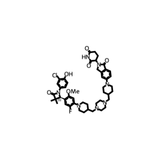 COc1cc(N2CCC(CN3CCN(CC4CCN(c5ccc6c(c5)CN(C5CCC(=O)NC5=O)C6=O)CC4)CC3)CC2)c(F)cc1[C@@H]1N(c2ccc(O)c(Cl)c2)C(=O)C1(C)C